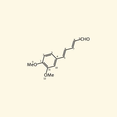 COc1ccc(/C=C/C=[C]/C=O)cc1OC